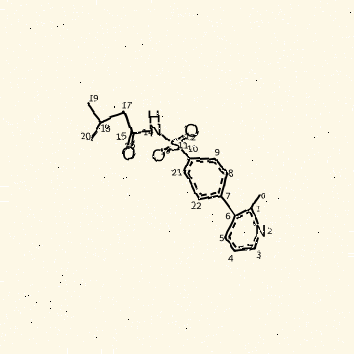 Cc1ncccc1-c1ccc(S(=O)(=O)NC(=O)CC(C)C)cc1